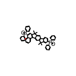 CC1(C)c2cc(P(=O)(c3ccccc3)c3ccccc3)ccc2-c2cc3c(cc21)-c1c(cc(P(=O)(c2ccccc2)c2ccccc2)c2ccccc12)C3(C)C